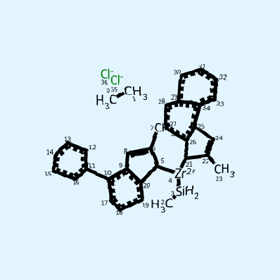 CC.C[SiH2][Zr+2]([CH]1C(C)=Cc2c(-c3ccccc3)cccc21)[CH]1C(C)=Cc2c1ccc1ccccc21.[Cl-].[Cl-]